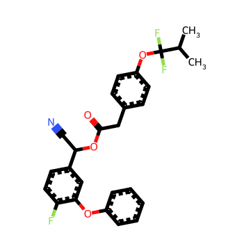 CC(C)C(F)(F)Oc1ccc(CC(=O)OC(C#N)c2ccc(F)c(Oc3ccccc3)c2)cc1